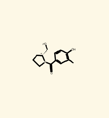 Cc1cc(C(=O)N2CCC[C@@H]2CO)ccc1O